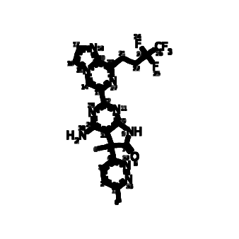 Cc1ccc(C2(C)C(=O)Nc3nc(-c4cn5ccnc5c(CCC(F)(F)C(F)(F)F)n4)nc(N)c32)nn1